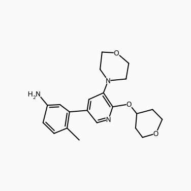 Cc1ccc(N)cc1-c1cnc(OC2CCOCC2)c(N2CCOCC2)c1